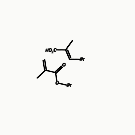 C=C(C)C(=O)OC(C)C.CC(=CC(C)C)C(=O)O